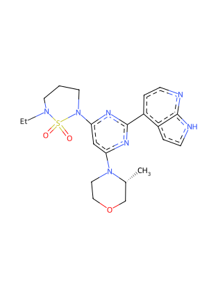 CCN1CCCN(c2cc(N3CCOC[C@H]3C)nc(-c3ccnc4[nH]ccc34)n2)S1(=O)=O